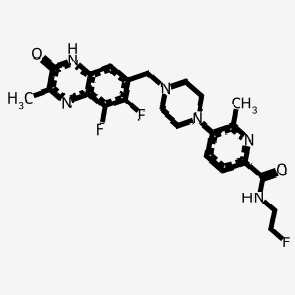 Cc1nc(C(=O)NCCF)ccc1N1CCN(Cc2cc3[nH]c(=O)c(C)nc3c(F)c2F)CC1